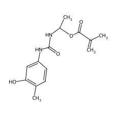 C=C(C)C(=O)OC(C)NC(=O)Nc1ccc(C)c(O)c1